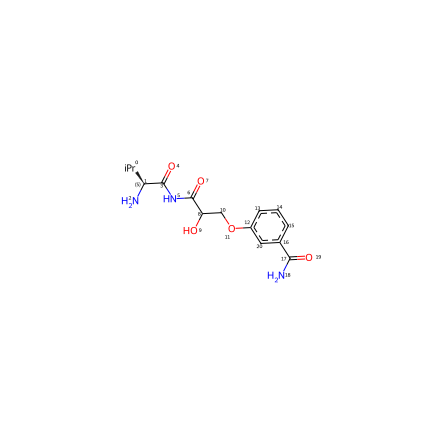 CC(C)[C@H](N)C(=O)NC(=O)C(O)COc1cccc(C(N)=O)c1